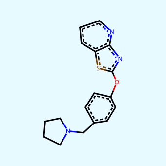 c1cnc2nc(Oc3ccc(CN4CCCC4)cc3)sc2c1